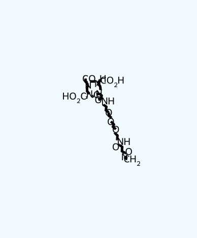 C=NC(=O)CCC(=O)NCCCOCCOCCOCCCNC(=O)CN1CCN(CC(=O)O)CCN(CC(=O)O)CCN(CC(=O)O)CC1